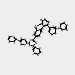 c1ccc(-c2ccc(-c3nc(-c4ccccc4)nc(-c4ccc5c(c4)oc4cccc(-c6cccc(-c7ccccc7)c6)c45)n3)cc2)cc1